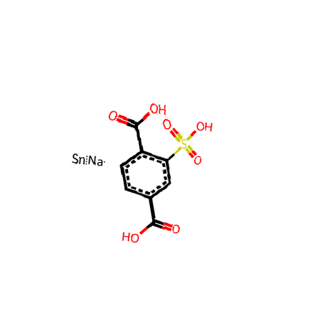 O=C(O)c1ccc(C(=O)O)c(S(=O)(=O)O)c1.[Na].[Sn]